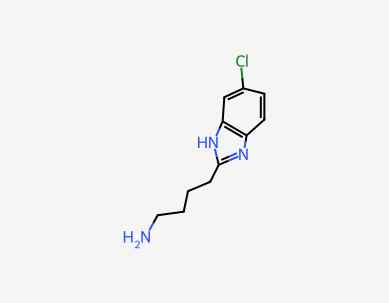 NCCCCc1nc2ccc(Cl)cc2[nH]1